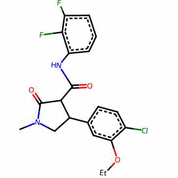 CCOc1cc(C2CN(C)C(=O)C2C(=O)Nc2cccc(F)c2F)ccc1Cl